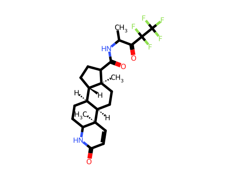 CC(NC(=O)C1CC[C@H]2[C@@H]3CCC4NC(=O)C=C[C@]4(C)[C@@H]3CC[C@]12C)C(=O)C(F)(F)C(F)(F)F